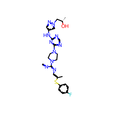 C=N/C(=N\C=C(/C)Sc1ccc(F)cc1)N1CCN(c2ncnc(Nc3cnn(C[C@H](C)O)c3)n2)CC1